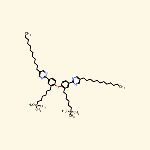 CCCCCCCCCCCCc1cnc(-c2ccc(Oc3ccc(-c4ncc(CCCCCCCCCCCC)cn4)cc3CCCCCC[Si](C)(C)C)c(CCCCCC[Si](C)(C)C)c2)nc1